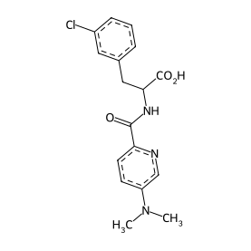 CN(C)c1ccc(C(=O)NC(Cc2cccc(Cl)c2)C(=O)O)nc1